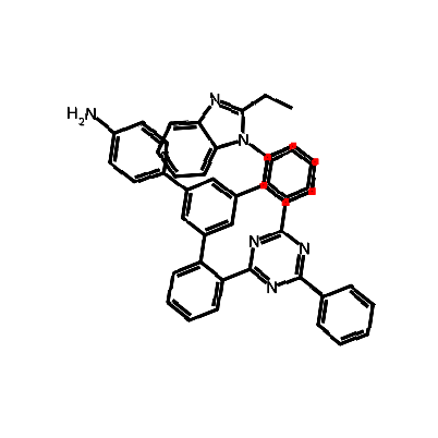 CCc1nc2ccccc2n1-c1ccccc1-c1cc(-c2ccc(N)cc2)cc(-c2ccccc2-c2nc(-c3ccccc3)nc(-c3ccccc3)n2)c1